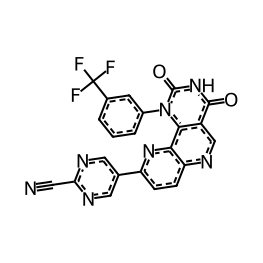 N#Cc1ncc(-c2ccc3ncc4c(=O)[nH]c(=O)n(-c5cccc(C(F)(F)F)c5)c4c3n2)cn1